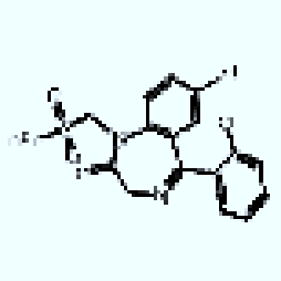 CCCS(=O)(=O)CN1C(=O)CN=C(c2ccccc2Cl)c2cc(Cl)ccc21